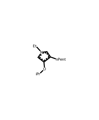 CCCCCc1cn(CC)cc1OC(C)C